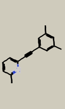 Cc1cc(C)cc(C#Cc2cccc(C)n2)c1